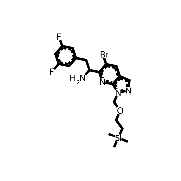 C[Si](C)(C)CCOCn1ncc2cc(Br)c(C(N)Cc3cc(F)cc(F)c3)nc21